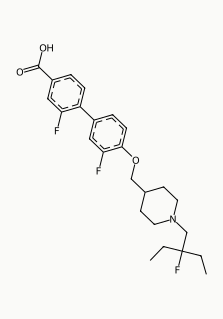 CCC(F)(CC)CN1CCC(COc2ccc(-c3ccc(C(=O)O)cc3F)cc2F)CC1